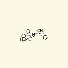 CN(CCc1ccccc1)CCN1CC[C@@H](C(C(N)=O)(c2ccccc2)c2ccccc2)C1